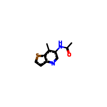 CC(=O)Nc1cnc2ccsc2c1C